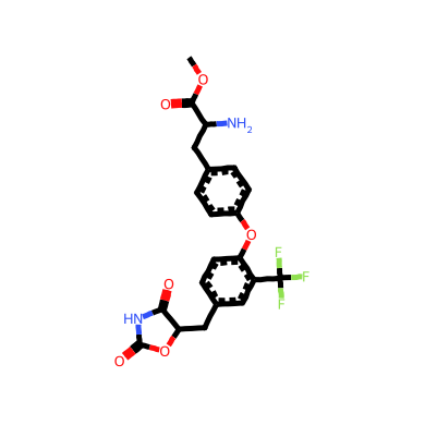 COC(=O)C(N)Cc1ccc(Oc2ccc(CC3OC(=O)NC3=O)cc2C(F)(F)F)cc1